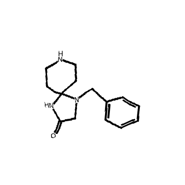 O=C1CN(Cc2ccccc2)C2(CCNCC2)N1